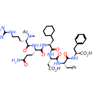 CC(=O)N(C)[C@@H](CCCNC(=N)N)C(=O)N[C@@H](CCC(N)=O)C(=O)N[C@@H](CC1CCCCC1)C(=O)N[C@@H](CC(=O)O)C(=O)N[C@@H](CC(C)C)C(=O)N[C@@H](Cc1ccccc1)C(=O)O